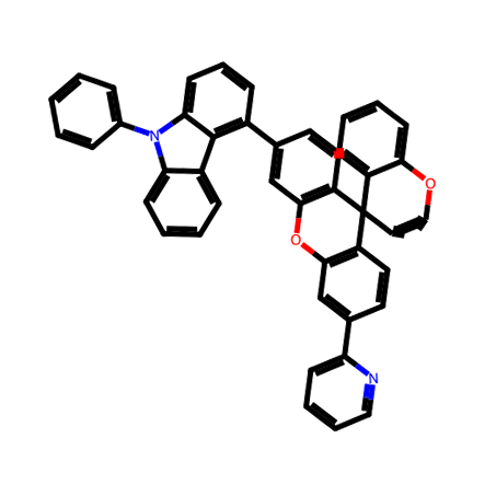 c1ccc(-n2c3ccccc3c3c(-c4ccc5c(c4)Oc4cc(-c6ccccn6)ccc4C54c5ccccc5Oc5ccccc54)cccc32)cc1